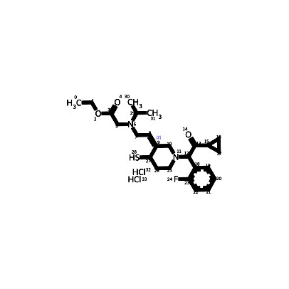 CCOC(=O)CN(C/C=C1/CN(C(C(=O)C2CC2)c2ccccc2F)CCC1S)C(C)C.Cl.Cl